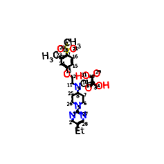 CCc1cnc(N2CCC(N(C)CCOc3ccc(S(C)(=O)=O)c(C)c3)CC2)nc1.O=C(O)C(=O)O